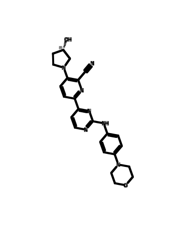 N#Cc1nc(-c2ccnc(Nc3ccc(N4CCOCC4)cc3)n2)ccc1N1CC[C@H](O)C1